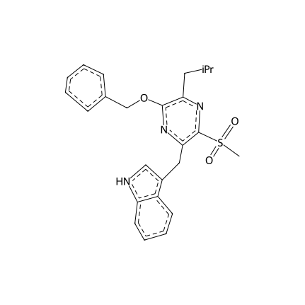 CC(C)Cc1nc(S(C)(=O)=O)c(Cc2c[nH]c3ccccc23)nc1OCc1ccccc1